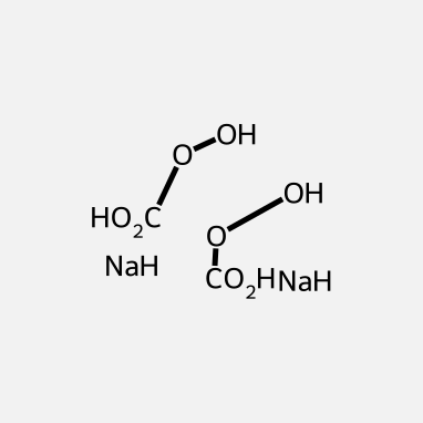 O=C(O)OO.O=C(O)OO.[NaH].[NaH]